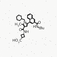 Cc1c(C(=O)N[C@H]2C[C@H](C(=O)O)C2)cc(-c2cc(C(=O)NC(C)(C)C)cc3ccccc23)n1CC1CCCCC1